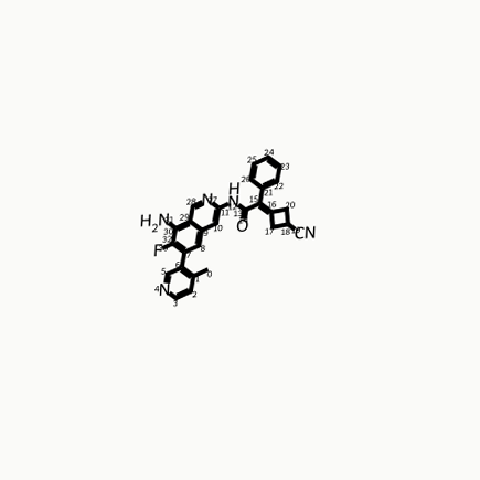 Cc1ccncc1-c1cc2cc(NC(=O)C(=C3CC(C#N)C3)c3ccccc3)ncc2c(N)c1F